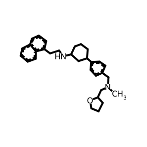 CN(Cc1ccc(C2CCCC(NCCc3cccc4ccccc34)C2)cc1)CC1CCCO1